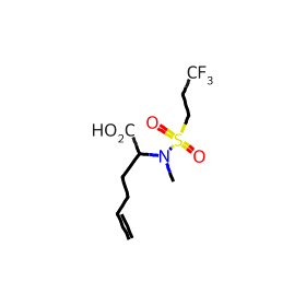 C=CCCC(C(=O)O)N(C)S(=O)(=O)CCC(F)(F)F